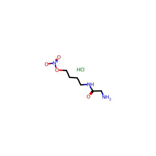 Cl.NCC(=O)NCCCCO[N+](=O)[O-]